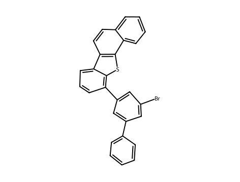 Brc1cc(-c2ccccc2)cc(-c2cccc3c2sc2c4ccccc4ccc32)c1